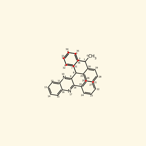 CC12c3ccccc3C(c3nc4ccccc4nc3-c3ccccc3)(c3ccccc31)c1ccccc12